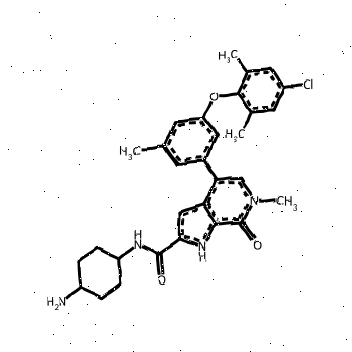 Cc1cc(Oc2c(C)cc(Cl)cc2C)cc(-c2cn(C)c(=O)c3[nH]c(C(=O)NC4CCC(N)CC4)cc23)c1